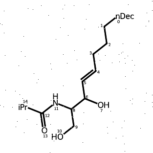 CCCCCCCCCCCCC/C=C/C(O)C(CO)NC(=O)C(C)C